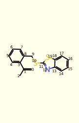 C=C(C)c1ccccc1CSc1nc2ccccc2s1